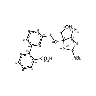 CCCCC1N=C(C(F)(F)F)C(CO)(OCc2cccc(-c3ccccc3C(=O)O)c2)N1